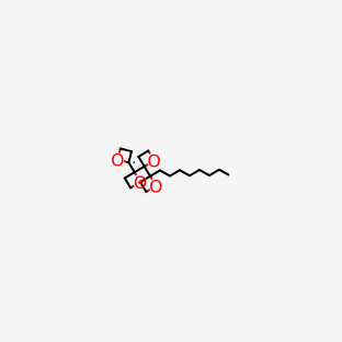 CCCCCCCCC1(C2(C3([C]4CCO4)CCO3)CCO2)CCO1